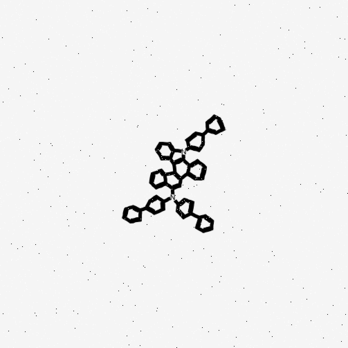 C1=CC(c2ccccc2)CC=C1n1c2ccccc2c2c3c4ccccc4c(N(c4ccc(-c5ccccc5)cc4)c4ccc(-c5ccccc5)cc4)cc3c3ccccc3c21